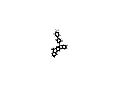 CC1(C)c2ccccc2-c2cc3c4ccccc4n(-c4ccc(-c5ccc(C#N)cc5)cc4)c3cc21